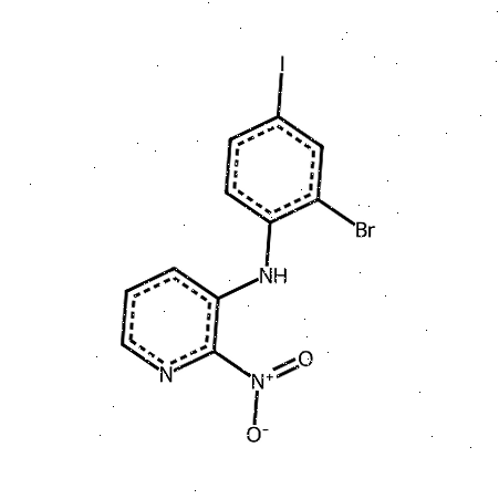 O=[N+]([O-])c1ncccc1Nc1ccc(I)cc1Br